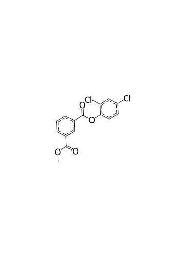 COC(=O)c1cccc(C(=O)Oc2ccc(Cl)cc2Cl)c1